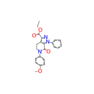 CCOC(=O)c1nn(-c2ccccc2)c2c1CCN(c1ccc(OC)cc1)C2=O